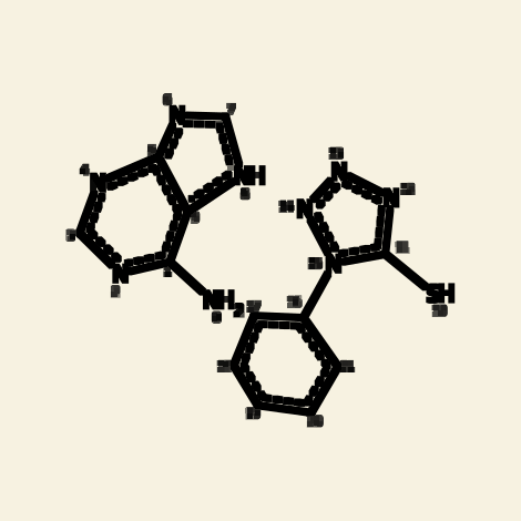 Nc1ncnc2nc[nH]c12.Sc1nnnn1-c1ccccc1